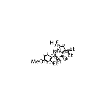 CCc1cc(OC)ccc1-c1nn2c(C)cc(C(CC)CC)c2c(=O)n1CC